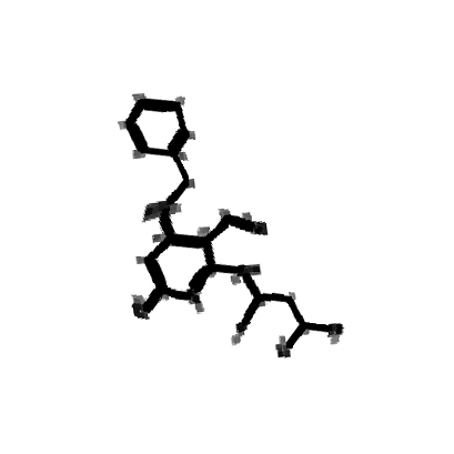 CCC(CC)CC(F)Nc1nc(Cl)cc(NCc2ccccc2)c1C=N